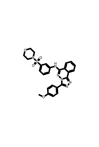 COc1ccc(-c2nnc3c4ccccc4c(Nc4cccc(S(=O)(=O)N5CCOCC5)c4)nn23)cc1